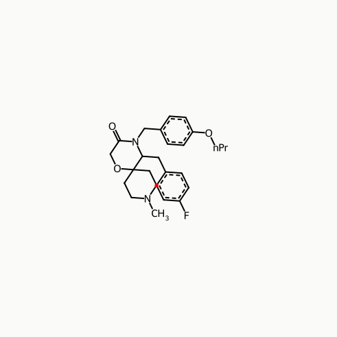 CCCOc1ccc(CN2C(=O)COC3(CCN(C)CC3)C2Cc2ccc(F)cc2)cc1